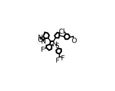 O=Cc1ccc(-c2cccc(-c3c(-c4cccc5nonc45)c4cc(F)ccc4n3Sc3ccc(C(F)F)cc3)c2)c(Cl)c1